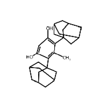 Cc1c(C23CC4CC(CC(C4)C2)C3)c(O)cc(O)c1C12CC3CC(CC(C3)C1)C2